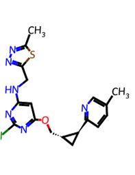 Cc1ccc([C@H]2C[C@@H]2COc2cc(NCc3nnc(C)s3)nc(Cl)n2)nc1